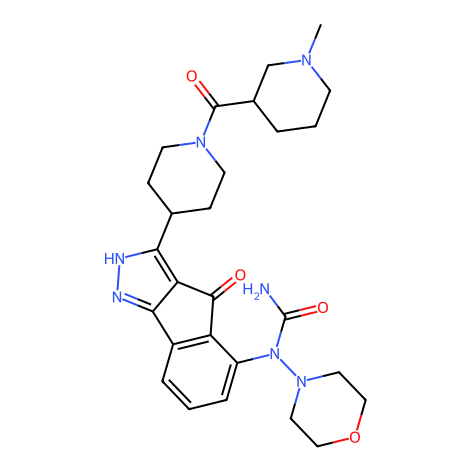 CN1CCCC(C(=O)N2CCC(c3[nH]nc4c3C(=O)c3c-4cccc3N(C(N)=O)N3CCOCC3)CC2)C1